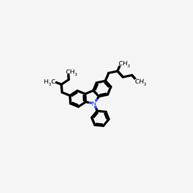 CCCC(C)Cc1ccc2c(c1)c1cc(CC(C)CC)ccc1n2-c1ccccc1